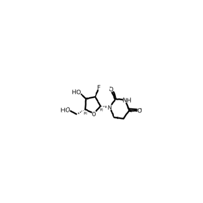 O=C1CCN([C@@H]2O[C@H](CO)C(O)C2F)C(=O)N1